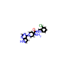 NC1(C(=O)NCc2ccccc2Cl)CCN(c2ncnc3c2CCN3)CC1